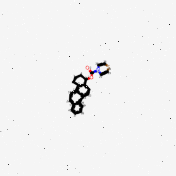 O=C(OC1CCCc2c1ccc1c2ccc2ccccc21)N1C=CSC=C1